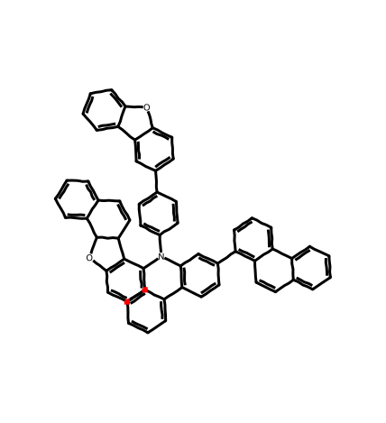 C1=CC2c3c(cccc3N(c3ccc(-c4ccc5oc6ccccc6c5c4)cc3)c3cc(-c4cccc5c4ccc4ccccc45)ccc3-c3ccccc3)OC2c2ccccc21